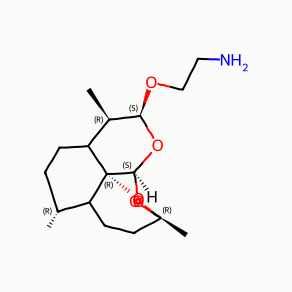 C[C@@H]1CCC2[C@@H](C)[C@@H](OCCN)O[C@H]3O[C@@]4(C)CCC1[C@@]23OO4